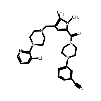 Cc1c(CN2CCN(c3ncccc3Cl)CC2)cc(C(=O)N2CCN(c3cccc(C#N)c3)CC2)n1C